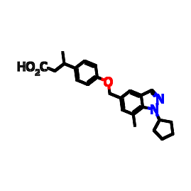 Cc1cc(COc2ccc(C(C)CC(=O)O)cc2)cc2cnn(C3CCCC3)c12